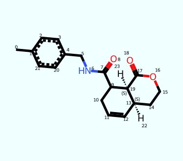 Cc1ccc(CNC(=O)C2CC=C[C@@H]3CCOC(=O)[C@H]23)cc1